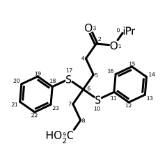 CC(C)OC(=O)CCC(CCC(=O)O)(Sc1ccccc1)Sc1ccccc1